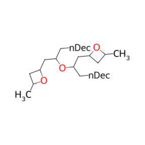 CCCCCCCCCCCC(CC1CC(C)O1)OC(CCCCCCCCCCC)CC1CC(C)O1